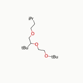 CC(C)CCOCC(OCCOC(C)(C)C)C(C)(C)C